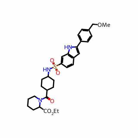 CCOC(=O)C1CCCCN1C(=O)C1CCC(NS(=O)(=O)c2ccc3cc(-c4ccc(COC)cc4)[nH]c3c2)CC1